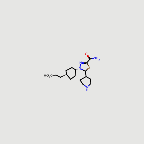 NC(=O)C1=NN([C@H]2CC[C@H](CCC(=O)O)CC2)C(C2CCNCC2)S1